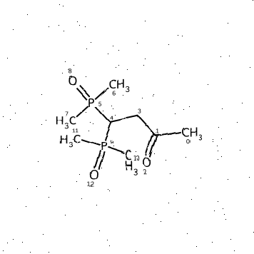 CC(=O)CC(P(C)(C)=O)P(C)(C)=O